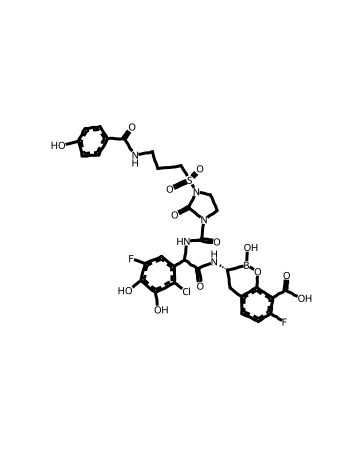 O=C(NCCCS(=O)(=O)N1CCN(C(=O)NC(C(=O)N[C@H]2Cc3ccc(F)c(C(=O)O)c3OB2O)c2cc(F)c(O)c(O)c2Cl)C1=O)c1ccc(O)cc1